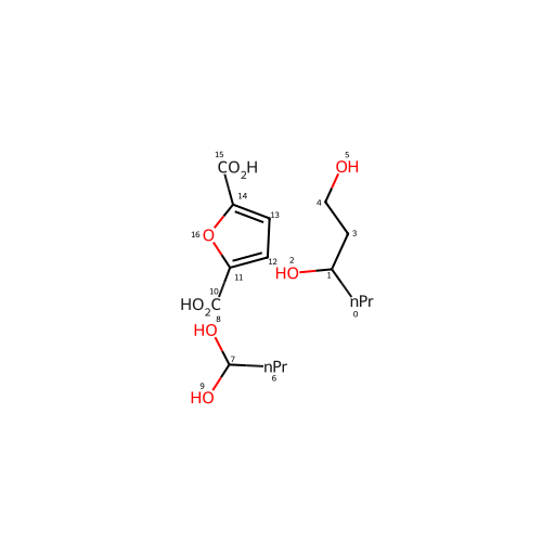 CCCC(O)CCO.CCCC(O)O.O=C(O)c1ccc(C(=O)O)o1